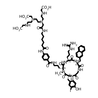 CN1C(=O)[C@@H](Cc2ccc(O)c(I)c2)NC(=O)CNC(=O)[C@H](Cc2ccc3ccccc3c2)NC(=O)[C@H](CCCNC(=N)N)NC(=O)[C@H]1CCCNC(=O)c1ccc(NC(=O)CCCCCNC(=O)CN(CCNCC(=O)O)CCN(CCNCC(=O)O)CC(=O)O)cc1